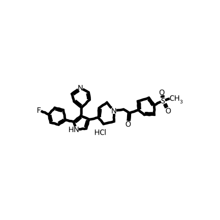 CS(=O)(=O)c1ccc(C(=O)CN2CC=C(c3c[nH]c(-c4ccc(F)cc4)c3-c3ccncc3)CC2)cc1.Cl